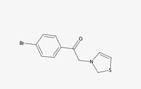 O=C(CN1C=CSC1)c1ccc(Br)cc1